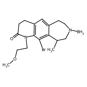 BN1CCc2cc3c(c(Br)c2C(C)C1)N(CCOC)C(=O)CC3